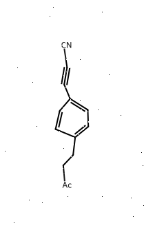 CC(=O)CCc1ccc(C#CC#N)cc1